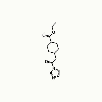 CCOC(=O)C1CCC(CC(=O)n2ccnc2)CC1